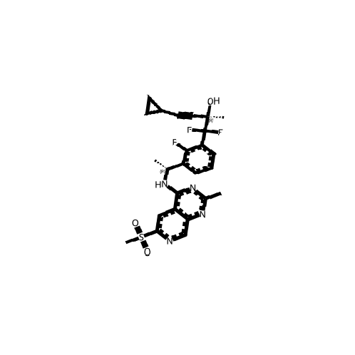 Cc1nc(N[C@H](C)c2cccc(C(F)(F)[C@](C)(O)C#CC3CC3)c2F)c2cc(S(C)(=O)=O)ncc2n1